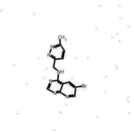 Cc1ccc(CNc2ncnc3ncc(Br)cc23)nn1